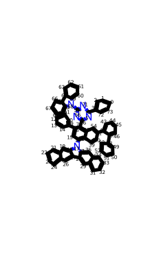 c1ccc(-c2nc(-c3c(-c4ccccc4)cc(-n4c5cc6ccccc6cc5c5cc6ccccc6cc54)c4ccc(-c5ccccc5-c5ccccc5)cc34)nc(-n3c4ccccc4c4ccccc43)n2)cc1